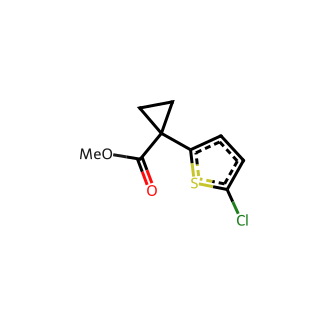 COC(=O)C1(c2ccc(Cl)s2)CC1